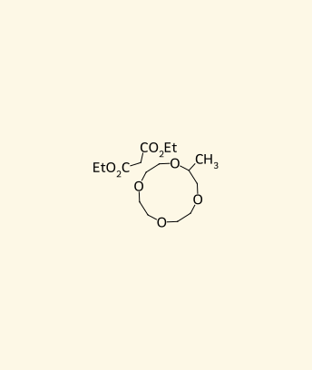 CC1COCCOCCOCCO1.CCOC(=O)CC(=O)OCC